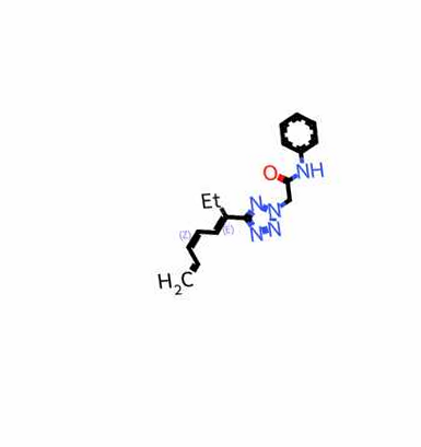 C=C/C=C\C=C(/CC)c1nnn(CC(=O)Nc2ccccc2)n1